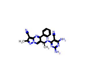 Cc1nn2cc([C@H](C)Nc3nc(N)nc(N)c3C#N)c(-c3ccccc3)nc2c1C#N